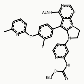 CC(=O)Nc1ncnc2c1c(-c1ccc(Oc3cccc(C)n3)c(F)c1)c1n2CCN1c1ccnc(NC(=O)OC(C)(C)C)c1